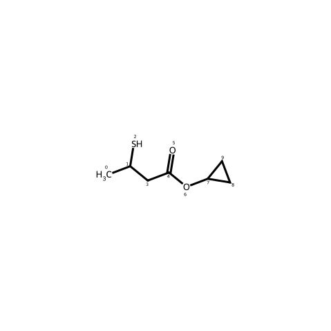 CC(S)CC(=O)OC1CC1